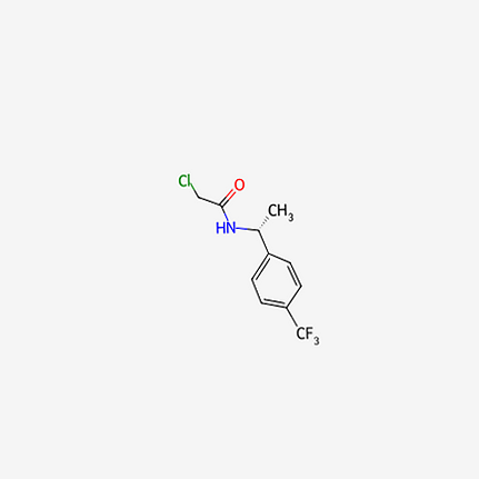 C[C@@H](NC(=O)CCl)c1ccc(C(F)(F)F)cc1